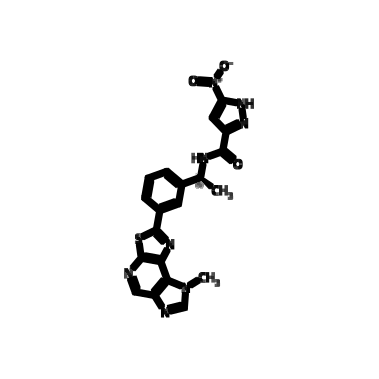 C[C@H](NC(=O)c1cc([N+](=O)[O-])[nH]n1)c1cccc(-c2nc3c(ncc4ncn(C)c43)s2)c1